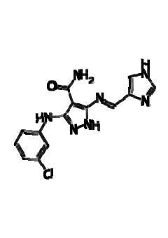 NC(=O)c1c(Nc2cccc(Cl)c2)n[nH]c1/N=C/c1c[nH]cn1